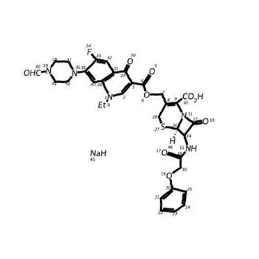 CCn1cc(C(=O)OCC2=C(C(=O)O)N3C(=O)C(NC(=O)COc4ccccc4)[C@H]3SC2)c(=O)c2cc(F)c(N3CCN(C=O)CC3)cc21.[NaH]